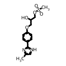 Cc1c[nH]c(-c2ccc(OCC(O)COS(C)(=O)=O)cc2)n1